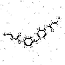 O=C(C=CBr)Oc1ccc(Sc2ccc(OC(=O)C=CBr)cc2)cc1